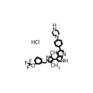 Cc1nn(Cc2cccc(OC(F)(F)F)c2)c(C)c1-c1c[nH]c2ncc(-c3ccc(N4CCNCC4)cc3)cc12.Cl